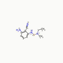 CCN(C)SNc1cccc(N)c1C#N